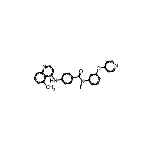 Cc1cccc2nccc(Nc3ccc(C(=O)N(I)c4cccc(Oc5ccncc5)c4)cc3)c12